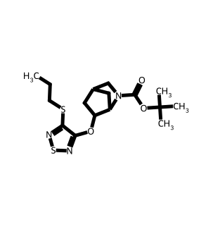 CCCSc1nsnc1OC1CC2CC1N(C(=O)OC(C)(C)C)C2